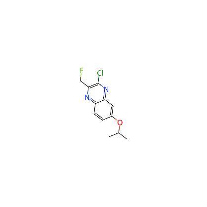 CC(C)Oc1ccc2nc(CF)c(Cl)nc2c1